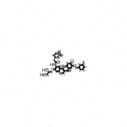 N#Cc1cnc2cc(OC[C@@H](O)CO)c(NC(=O)C[C@@H]3CCS(=O)(=O)S3)cc2c1Nc1ccc(OCc2cccc(F)c2)c(Cl)c1